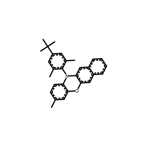 Cc1ccc2c(c1)Oc1cc3ccccc3cc1N2c1c(C)cc(C(C)(C)C)cc1C